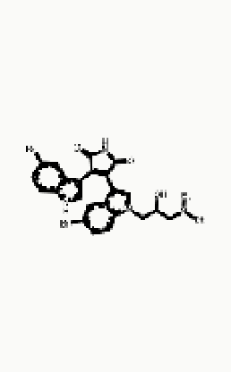 CCN(CC)CC(O)Cn1cc(C2=C(c3c[nH]c4ccc(Br)cc34)C(=O)NC2=O)c2cc(Br)ccc21